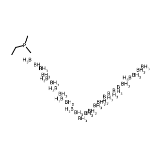 B.B.B.B.B.B.B.B.B.B.B.B.B.B.B.B.B.B.B.B.B.B.B.B.B.B.CCP(C)C